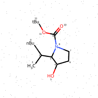 CCCCC(C)C1C(O)CCN1C(=O)OC(C)(C)C